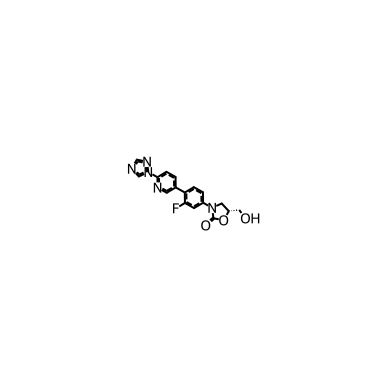 O=C1O[C@@H](CO)CN1c1ccc(-c2ccc(-n3cncn3)nc2)c(F)c1